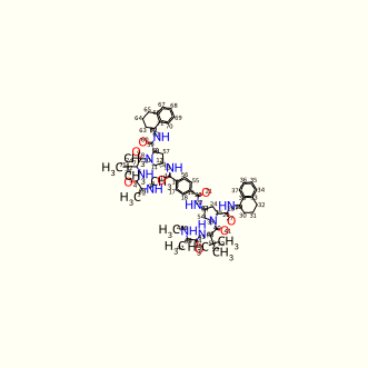 CN[C@@H](C)C(=O)NC(C(=O)N1C[C@@H](NC(=O)c2ccc(C(=O)N[C@H]3CC(C(=O)N[C@@H]4CCCc5ccccc54)N(C(=O)[C@@H](NC(=O)[C@H](C)NC)C(C)(C)C)C3)cc2)C[C@H]1C(=O)N[C@@H]1CCCc2ccccc21)C(C)(C)C